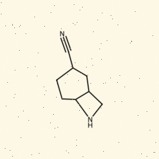 N#CC1CCC2NCC2C1